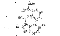 CCC(CC)n1c(O)nc2ncc(Cl)c(-c3cccc(C(=O)OC)c3)c21